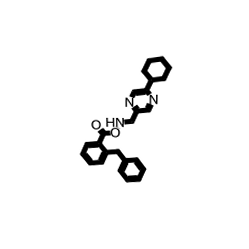 O=C(ONCc1cnc(C2CCCCC2)cn1)c1ccccc1Cc1ccccc1